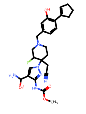 COC(=O)Nc1nn(C2(CC#N)CCN(Cc3ccc(C4=CCCC4)c(O)c3)CC2F)cc1C(N)O